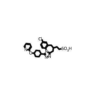 O=S(=O)(O)CCC1Cc2cc(Cl)ccc2-n2c(nnc2C2CCC(Oc3ccccn3)CC2)C1